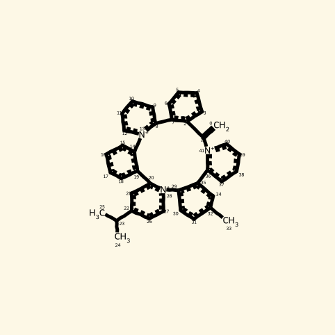 C=C1c2ccccc2-c2cccc[n+]2-c2ccccc2-c2cc(C(C)C)cc[n+]2-c2ccc(C)cc2-c2cccc[n+]21